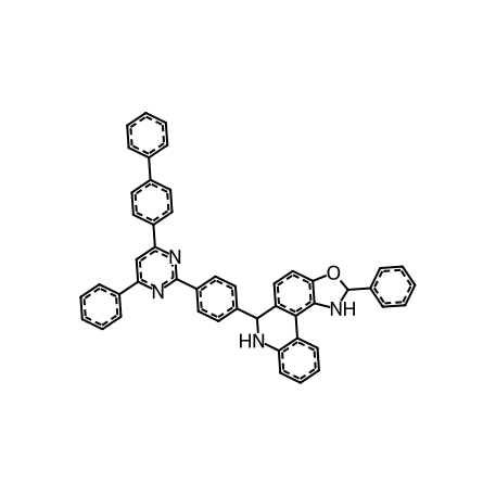 c1ccc(-c2ccc(-c3cc(-c4ccccc4)nc(-c4ccc(C5Nc6ccccc6-c6c5ccc5c6NC(c6ccccc6)O5)cc4)n3)cc2)cc1